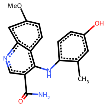 COc1ccc2c(Nc3ccc(O)cc3C)c(C(N)=O)cnc2c1